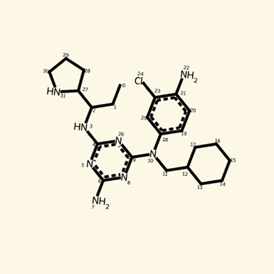 CCC(Nc1nc(N)nc(N(CC2CCCCC2)c2ccc(N)c(Cl)c2)n1)C1CCCN1